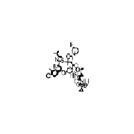 C=C[C@@H]1C[C@]1(NC(=O)[C@@H]1C[C@@H](Oc2cc(-c3nc(C(C)C)cs3)nc3c(C)c(OC)ccc23)CN1C(=O)[C@@H](CC(=O)N1CCCC(F)C1)C(C)(C)C)C(=O)NS(=O)(=O)C1CC1